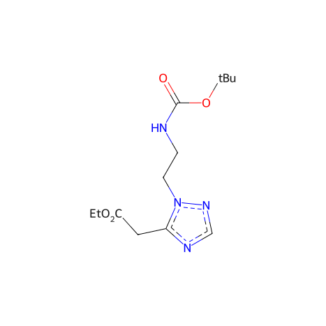 CCOC(=O)Cc1ncnn1CCNC(=O)OC(C)(C)C